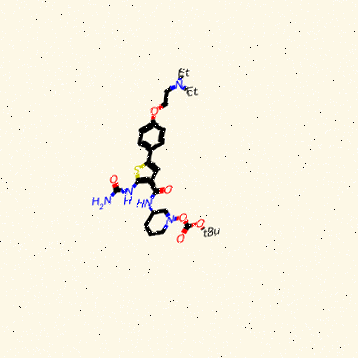 CCN(CC)CCOc1ccc(-c2cc(C(=O)N[C@@H]3CCCN(OC(=O)OC(C)(C)C)C3)c(NC(N)=O)s2)cc1